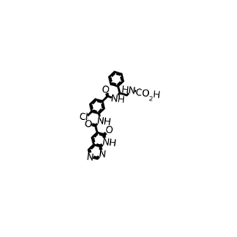 O=C(O)NCC(NC(=O)c1ccc(Cl)c(NC(=O)c2cc3cncnc3[nH]c2=O)c1)c1ccccc1